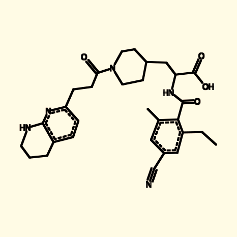 CCc1cc(C#N)cc(C)c1C(=O)NC(CC1CCN(C(=O)CCc2ccc3c(n2)NCCC3)CC1)C(=O)O